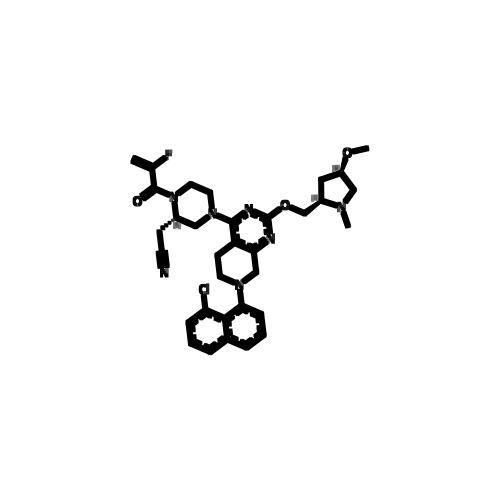 C=C(F)C(=O)N1CCN(c2nc(OC[C@H]3C[C@@H](OC)CN3C)nc3c2CCN(c2cccc4cccc(Cl)c24)C3)C[C@@H]1CC#N